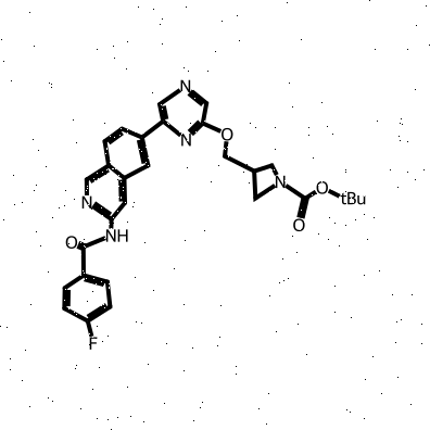 CC(C)(C)OC(=O)N1CC(COc2cncc(-c3ccc4cnc(NC(=O)c5ccc(F)cc5)cc4c3)n2)C1